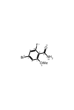 COc1cc(Br)cc(F)c1C(N)=O